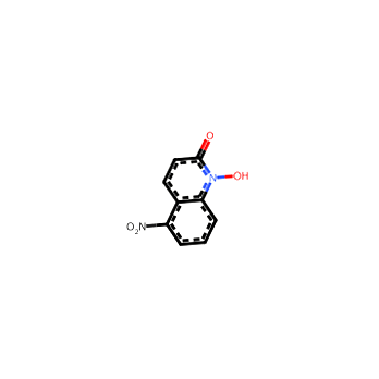 O=c1ccc2c([N+](=O)[O-])cccc2n1O